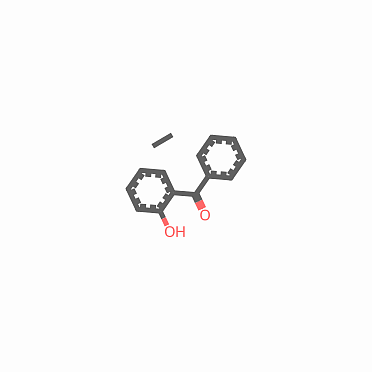 CC.O=C(c1ccccc1)c1ccccc1O